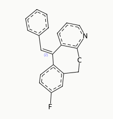 Fc1ccc2c(c1)CCc1ncccc1/C2=C\c1ccccc1